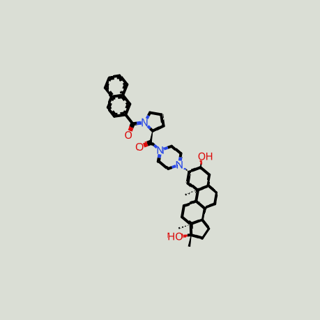 C[C@]12C[C@H](N3CCN(C(=O)[C@@H]4CCCN4C(=O)c4ccc5ccccc5c4)CC3)[C@@H](O)CC1CCC1C2CC[C@@]2(C)C1CC[C@]2(C)O